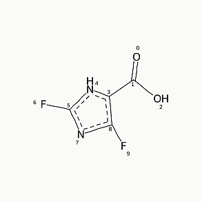 O=C(O)c1[nH]c(F)nc1F